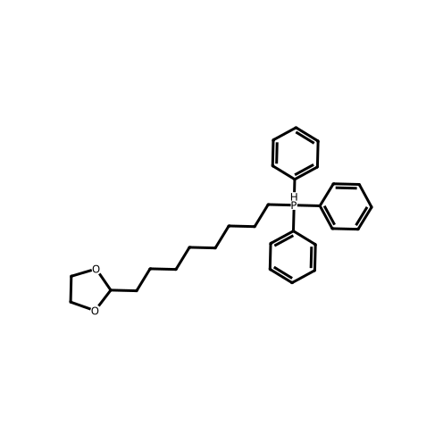 c1ccc([PH](CCCCCCCCC2OCCO2)(c2ccccc2)c2ccccc2)cc1